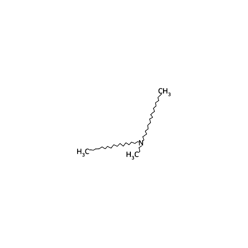 CCCCCCCCCCCCCCCCCCN(CCCC)CCCCCCCCCCCCCCCCCC